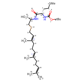 CSCC[C@H](NC(=O)OC(C)(C)C)C(=O)N[C@@H](CSC/C=C(\C)CC/C=C(\C)CCC=C(C)C)C(=O)O